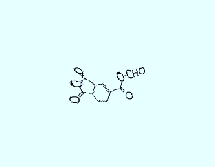 O=COC(=O)c1ccc2c(c1)C(=O)OC2=O